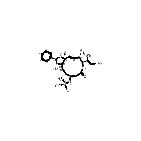 C/C(=C\C=O)[C@H]1OC(=O)CC(O[Si](C)(C)C(C)(C)C)CC[C@@]2(C)O[C@@H](c3ccccc3)O[C@H]2/C=C/[C@@H]1C